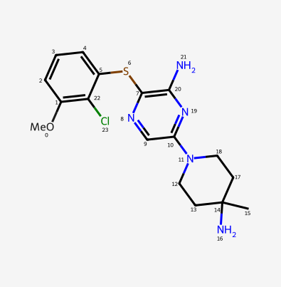 COc1cccc(Sc2ncc(N3CCC(C)(N)CC3)nc2N)c1Cl